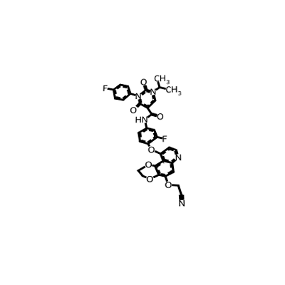 CC(C)n1cc(C(=O)Nc2ccc(Oc3ccnc4cc(OCC#N)c5c(c34)OCCO5)c(F)c2)c(=O)n(-c2ccc(F)cc2)c1=O